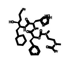 CC(C)CC[C@H](O)[C@H](CC1CCCCC1)NC(=O)[C@H](Cc1c[nH]cn1)N(C)C(=O)[C@H](Cc1ccccc1)OC(=O)N(C)CCN(C)C(=O)C(C)C.Cl